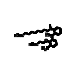 CCCCCCCCCCCCCCCCCCN(C)c1ccccc1N(CC)c1cccc(N)c1OCCCCCCCCCCCC